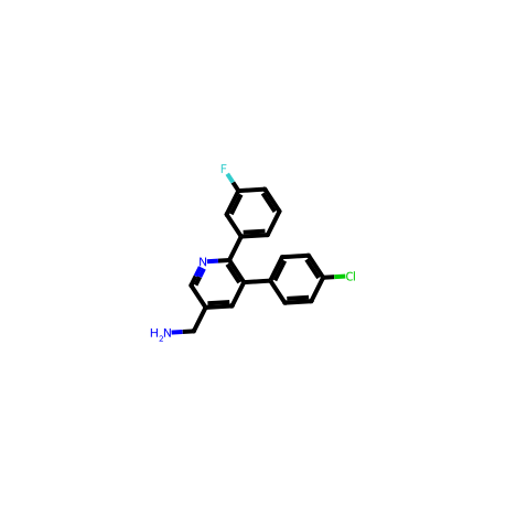 NCc1cnc(-c2cccc(F)c2)c(-c2ccc(Cl)cc2)c1